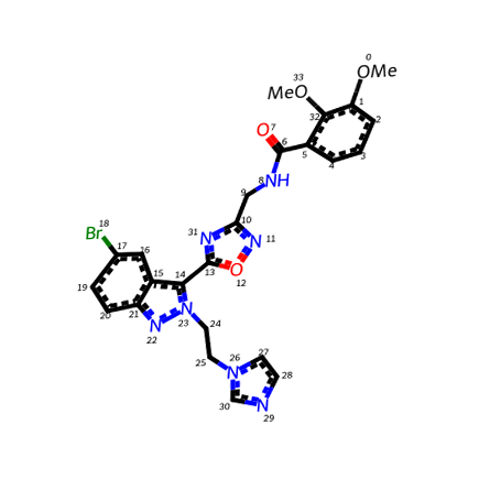 COc1cccc(C(=O)NCc2noc(-c3c4cc(Br)ccc4nn3CCn3ccnc3)n2)c1OC